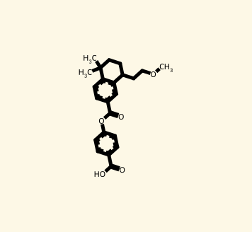 COCCC1CCC(C)(C)c2ccc(C(=O)Oc3ccc(C(=O)O)cc3)cc21